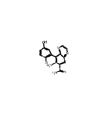 NC(=O)c1cc2nccnc2c(-c2cc(O)ccc2Cl)c1N